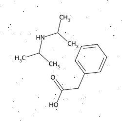 CC(C)NC(C)C.O=C(O)Cc1ccccc1